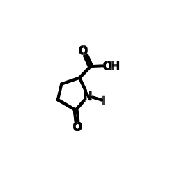 O=C(O)C1CCC(=O)N1I